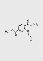 COC(=O)c1ccc(C(=O)OC)c(OCCBr)c1